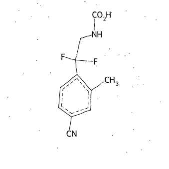 Cc1cc(C#N)ccc1C(F)(F)CNC(=O)O